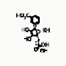 O=C(O)c1ccc[n+]([C@@H]2O[C@H](COP(=O)(O)O)[C@@H](O)[C@H]2O)c1.[KH]